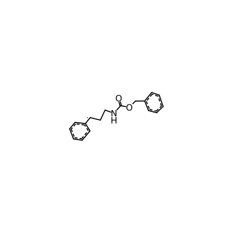 O=C(NCC[CH]c1ccccc1)OCc1ccccc1